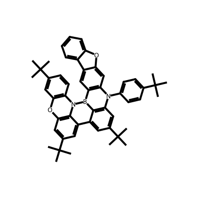 CC(C)(C)c1ccc(N2c3cc4oc5ccccc5c4cc3B3c4c(cc(C(C)(C)C)cc42)-c2cc(C(C)(C)C)cc4c2N3c2ccc(C(C)(C)C)cc2O4)cc1